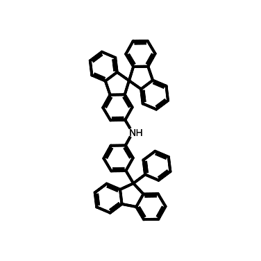 c1ccc(C2(c3cccc(Nc4ccc5c(c4)C4(c6ccccc6-c6ccccc64)c4ccccc4-5)c3)c3ccccc3-c3ccccc32)cc1